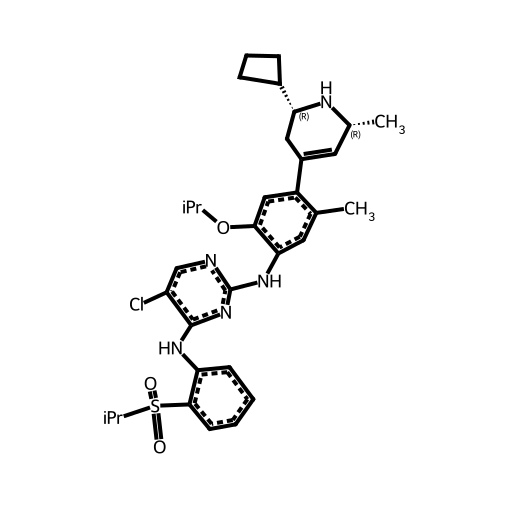 Cc1cc(Nc2ncc(Cl)c(Nc3ccccc3S(=O)(=O)C(C)C)n2)c(OC(C)C)cc1C1=C[C@@H](C)N[C@@H](C2CCC2)C1